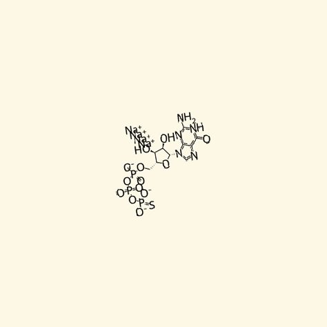 Nc1nc2c(ncn2[C@@H]2O[C@H](COP(=O)([O-])OP(=O)([O-])OP([O-])([O-])=S)[C@@H](O)[C@H]2O)c(=O)[nH]1.[Na+].[Na+].[Na+].[Na+]